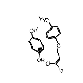 Oc1ccc(O)cc1.Oc1ccc(OCC=C(Cl)Cl)cc1